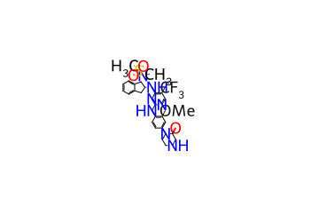 COc1cc(N2CCNCC2=O)ccc1Nc1ncc(C(F)(F)F)c(N[C@@H]2Cc3ccccc3[C@H]2N(C)S(C)(=O)=O)n1